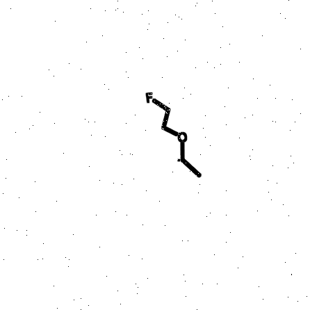 C[CH]OCCF